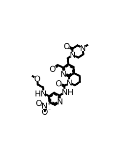 COCCNc1cc(NC(=O)N2CCCc3cc(CN4CCN(C)CC4=O)c(C=O)nc32)ncc1[N+](=O)[O-]